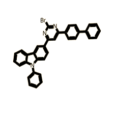 Brc1nc(-c2ccc(-c3ccccc3)cc2)cc(-c2ccc3c(c2)c2ccccc2n3-c2ccccc2)n1